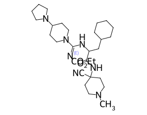 CCOC(=O)/N=C(\NC(CC1CCCCC1)C(=O)NC1(C#N)CCN(C)CC1)N1CCC(N2CCCC2)CC1